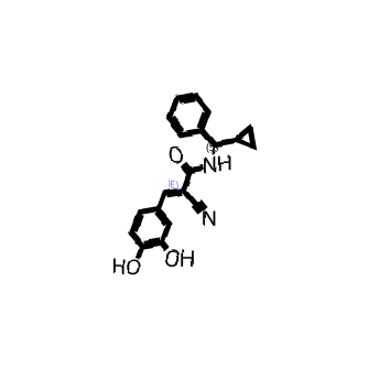 N#C/C(=C\c1ccc(O)c(O)c1)C(=O)N[C@H](c1ccccc1)C1CC1